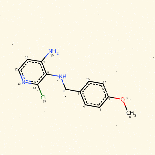 COc1ccc(CNc2c(N)ccnc2Cl)cc1